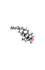 COC1CCC2(C)C(=CCC3C2CCC2(C)C3CCC23CCO3)C1